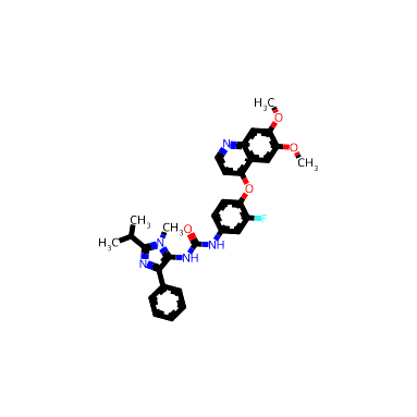 COc1cc2nccc(Oc3ccc(NC(=O)Nc4c(-c5ccccc5)nc(C(C)C)n4C)cc3F)c2cc1OC